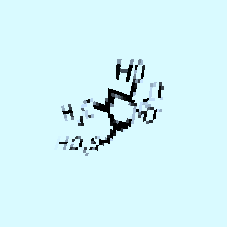 CC[N+]1([O-])C=C(CS(=O)(=O)O)C(C)=CC1O